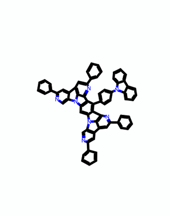 c1ccc(-c2cc3c4cc(-c5ccccc5)nc5c6c(-c7ccc(-n8c9ccccc9c9ccccc98)cc7)c7c8nc(-c9ccccc9)cc9c%10cc(-c%11ccccc%11)ncc%10n(c7cc6n(c3cn2)c45)c98)cc1